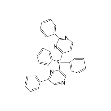 c1ccc(-c2cncc([Si](c3ccccc3)(c3ccccc3)c3ccnc(-c4ccccc4)n3)n2)cc1